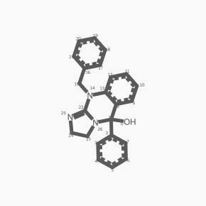 OC1(c2ccccc2)c2ccccc2N(Cc2ccccc2)C2=NCCN21